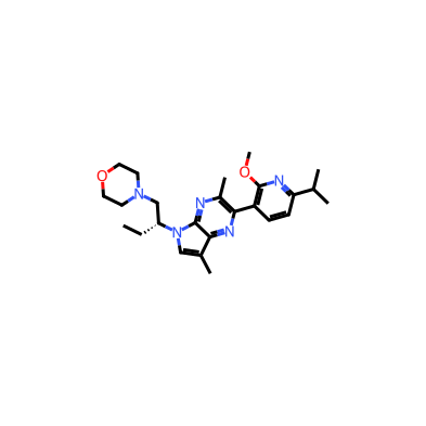 CC[C@H](CN1CCOCC1)n1cc(C)c2nc(-c3ccc(C(C)C)nc3OC)c(C)nc21